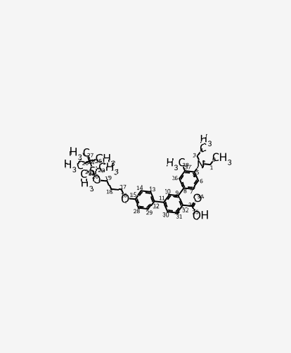 CCN(CC)c1ccc(-c2cc(-c3ccc(OCCCO[Si](C)(C)C(C)(C)C)cc3)ccc2C(=O)O)cc1C